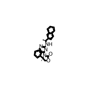 C[C@H](Nc1nccc(N2C(=O)OC[C@@]2(C)c2ccccc2)n1)c1ccc2ccccc2c1